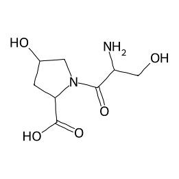 NC(CO)C(=O)N1CC(O)CC1C(=O)O